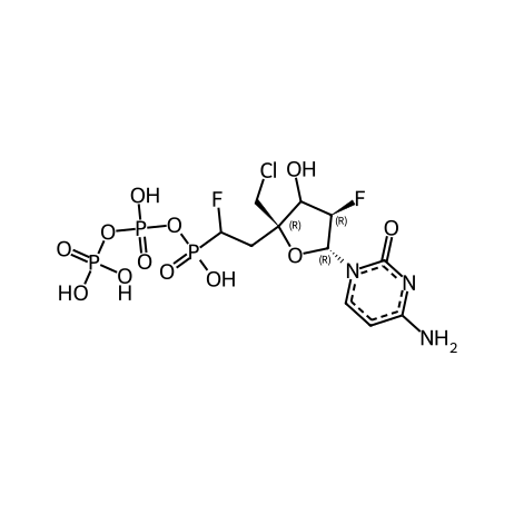 Nc1ccn([C@@H]2O[C@](CCl)(CC(F)P(=O)(O)OP(=O)(O)OP(=O)(O)O)C(O)[C@H]2F)c(=O)n1